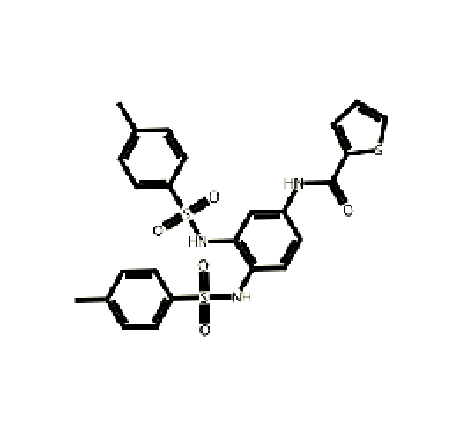 Cc1ccc(S(=O)(=O)Nc2ccc(NC(=O)c3cccs3)cc2NS(=O)(=O)c2ccc(C)cc2)cc1